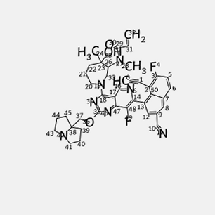 C#Cc1c(F)ccc2cc(C#N)cc(-c3ncc4c(N5CCCC(C)(O)C(N(C)C(=O)C=C)C5)nc(OCC56CCCN5CCC6)nc4c3F)c12